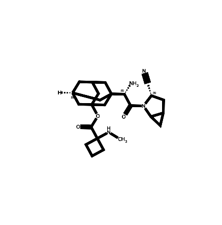 CNC1(C(=O)OC23CC4C[C@H](C2)CC([C@H](N)C(=O)N2C5CC5C[C@H]2C#N)(C4)C3)CCC1